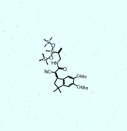 C=C(CNC(=O)C(C#N)=C1CC(C)(C)c2cc(OC)c(OC)cc21)[Si](C)(O[Si](C)(C)C)O[Si](C)(C)C